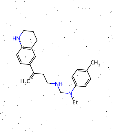 C=C(CCNCN(CC)c1ccc(C)cc1)c1ccc2c(c1)CCCN2